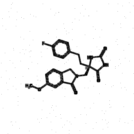 COc1ccc2c(c1)C(=O)N(C[C@@]1(CCc3ccc(F)cc3)NC(=O)NC1=O)C2